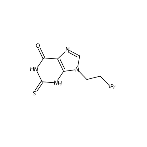 CC(C)CCn1cnc2c(=O)[nH]c(=S)[nH]c21